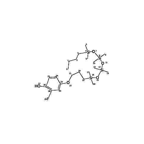 CCCC[Si](C)(C)O[Si](C)(C)O[Si](C)(C)O[Si](C)(C)CCCOc1ccc(O)c(F)c1